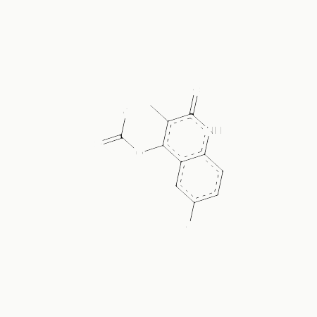 Cc1c(OC(=O)Cl)c2cc(Cl)ccc2[nH]c1=O